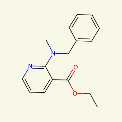 CCOC(=O)c1cccnc1N(C)Cc1ccccc1